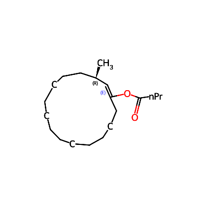 CCCC(=O)O/C1=C/[C@H](C)CCCCCCCCCCCC1